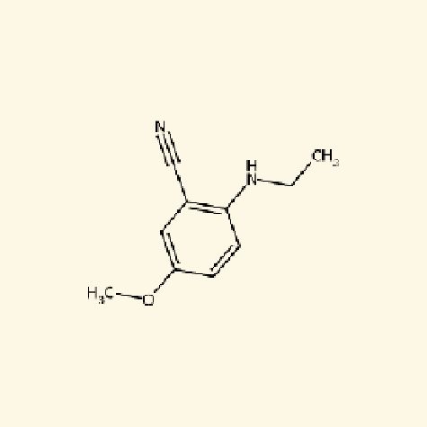 CCNc1ccc(OC)cc1C#N